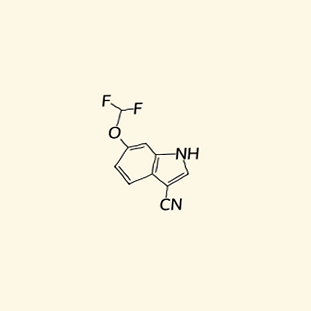 N#Cc1c[nH]c2cc(OC(F)F)ccc12